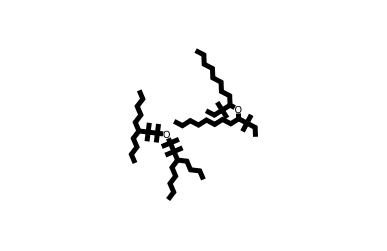 CCCCCC(CCCC)C(C)(C)C(C)(C)OC(C)(C)C(C)(C)C(CCCC)CCCCC.CCCCCCCCC(OC(CCCCCCCC)C(C)(C)CC)C(C)(C)CC